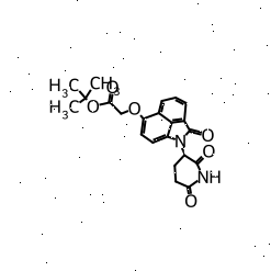 CC(C)(C)OC(=O)COc1ccc2c3c(cccc13)C(=O)N2[C@@H]1CCC(=O)NC1=O